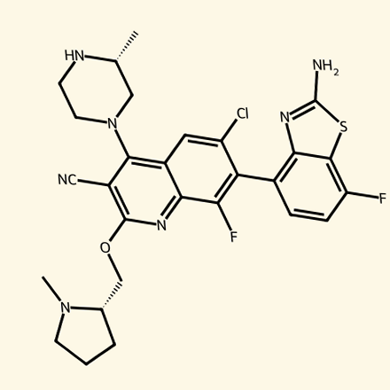 C[C@@H]1CN(c2c(C#N)c(OC[C@@H]3CCCN3C)nc3c(F)c(-c4ccc(F)c5sc(N)nc45)c(Cl)cc23)CCN1